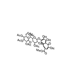 COC(=O)c1cc(O)c(=O)c2c(O)c(O)c(O[C@@H]3O[C@H](COC(C)=O)[C@@H](O[C@@H]4O[C@H](COC(C)=O)[C@H](OC(C)=O)[C@H](OC(C)=O)[C@H]4OC(C)=O)[C@H](OC(C)=O)[C@H]3OC(C)=O)cc2c1